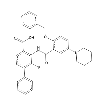 O=C(Nc1c(C(=O)O)ccc(-c2ccccc2)c1F)c1cc(N2CCCCC2)ccc1OCc1ccccc1